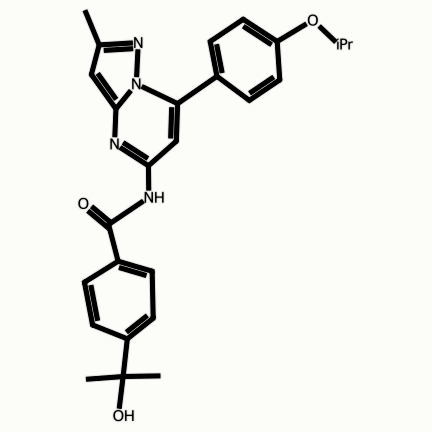 Cc1cc2nc(NC(=O)c3ccc(C(C)(C)O)cc3)cc(-c3ccc(OC(C)C)cc3)n2n1